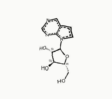 OC[C@H]1OC(n2ccc3cncnc32)[C@@H](O)[C@@H]1O